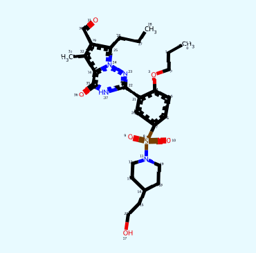 CCCOc1ccc(S(=O)(=O)N2CCC(CCO)CC2)cc1-c1nn2c(CCC)c(C=O)c(C)c2c(=O)[nH]1